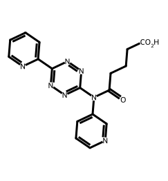 O=C(O)CCCC(=O)N(c1cccnc1)c1nnc(-c2ccccn2)nn1